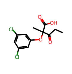 CCC(=O)C(C)(Oc1cc(Cl)cc(Cl)c1)C(=O)O